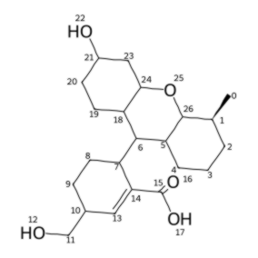 C[C@H]1CCCC2C(C3CCC(CO)C=C3C(=O)O)C3CCC(O)CC3OC21